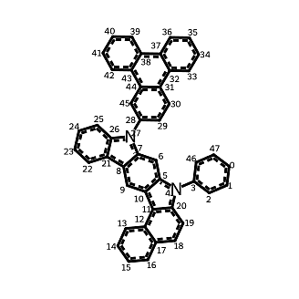 c1ccc(-n2c3cc4c(cc3c3c5ccccc5ccc32)c2ccccc2n4-c2ccc3c4ccccc4c4ccccc4c3c2)cc1